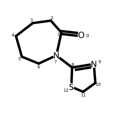 O=C1CCCCCN1C1=NCCS1